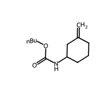 C=C1CCCC(NC(=O)OCCCC)C1